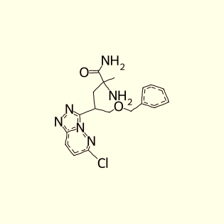 CC(N)(CC(COCc1ccccc1)c1nnc2ccc(Cl)nn12)C(N)=O